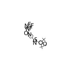 COc1c(C(C)(C)C)cc(-c2ncc(C3CCN(C(=O)Cn4ccnc4C(F)(F)F)CC3)s2)cc1C(C)(C)C